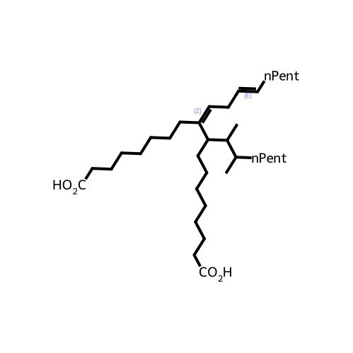 CCCCC/C=C/C/C=C(/CCCCCCCC(=O)O)C(CCCCCCCC(=O)O)C(C)C(C)CCCCC